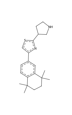 CC1(C)CCC(C)(C)c2cc(-c3csc(C4CCNC4)n3)ccc21